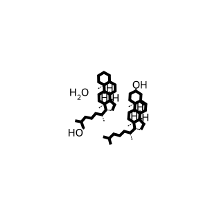 CC(C)CCC[C@@H](C)[C@H]1CC[C@H]2[C@@H]3CC=C4C[C@@H](O)CC[C@]4(C)[C@H]3CC[C@]12C.CC(CO)CCC[C@@H](C)[C@H]1CC[C@H]2[C@@H]3CCC4CCCC[C@]4(C)[C@H]3CC[C@]12C.O